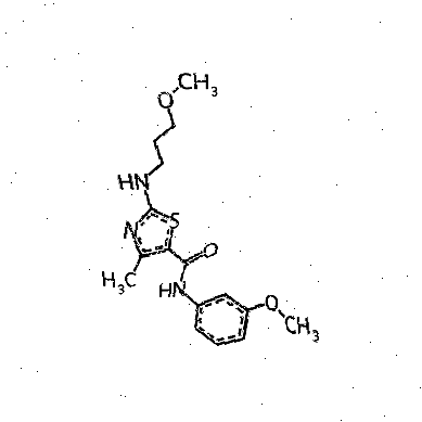 COCCCNc1nc(C)c(C(=O)Nc2cccc(OC)c2)s1